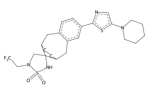 O=S1(=O)NC2(CN1CC(F)(F)F)C1CCC2Cc2cc(-c3ncc(N4CCCCC4)s3)ccc2C1